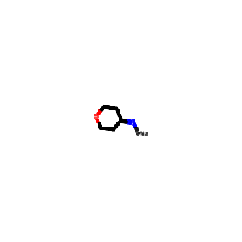 CON=C1CCOCC1